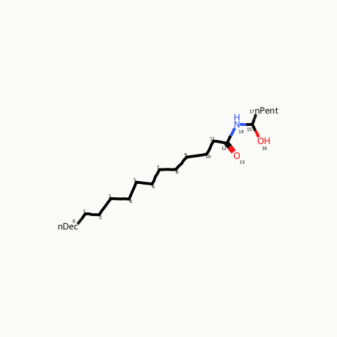 CCCCCCCCCCCCCCCCCCCCCC(=O)NC(O)CCCCC